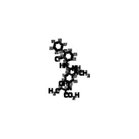 CC(O)C(N=c1ccc2c(Nc3cccc(-c4ccccc4)c3Cl)[nH]n(C)c-2c1)C(=O)O